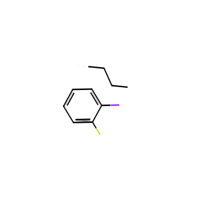 CCCC.Sc1ccccc1I